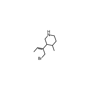 CC=C(CBr)C1CNCCC1C